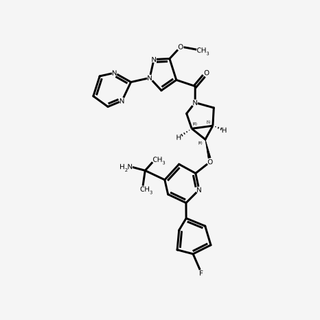 COc1nn(-c2ncccn2)cc1C(=O)N1C[C@@H]2[C@H](C1)[C@@H]2Oc1cc(C(C)(C)N)cc(-c2ccc(F)cc2)n1